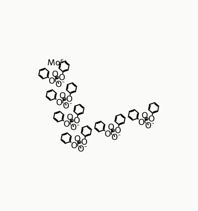 O=P([O-])(Oc1ccccc1)Oc1ccccc1.O=P([O-])(Oc1ccccc1)Oc1ccccc1.O=P([O-])(Oc1ccccc1)Oc1ccccc1.O=P([O-])(Oc1ccccc1)Oc1ccccc1.O=P([O-])(Oc1ccccc1)Oc1ccccc1.O=P([O-])(Oc1ccccc1)Oc1ccccc1.[Mo+6]